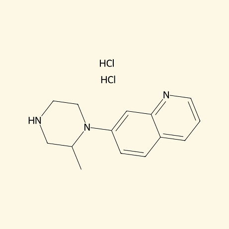 CC1CNCCN1c1ccc2cccnc2c1.Cl.Cl